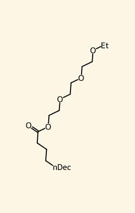 CCCCCCCCCCCCCC(=O)OCCOCCOCCOCC